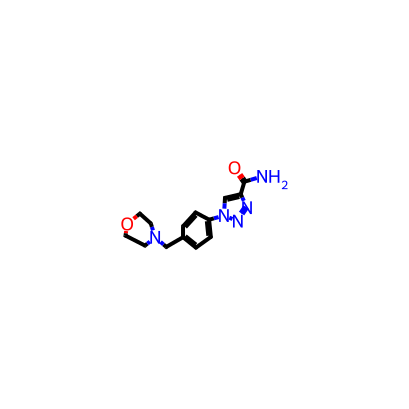 NC(=O)c1cn(-c2ccc(CN3CCOCC3)cc2)nn1